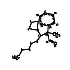 CCCCCC(C1CCC1)C(C)(C=O)c1ccccc1